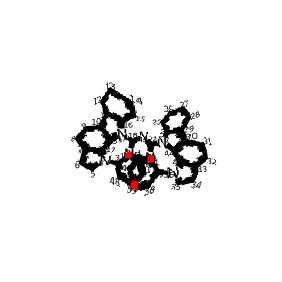 c1ccc(-n2ccc3ccc4c5ccccc5n(-c5ncnc(-n6c7ccccc7c7ccc8ccn(-c9ccccc9)c8c76)n5)c4c32)cc1